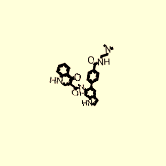 CN(C)CCNC(=O)c1ccc(-c2cc3cc[nH]c3cc2NC(=O)c2c[nH]c3ccccc3c2=O)cc1